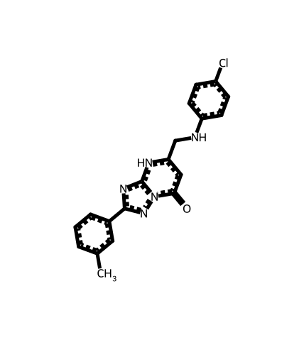 Cc1cccc(-c2nc3[nH]c(CNc4ccc(Cl)cc4)cc(=O)n3n2)c1